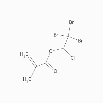 C=C(C)C(=O)OC(Cl)C(Br)(Br)Br